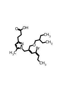 CC/C=C(Br)\C=C(/COCC(CC)CC)Cn1nc(CCC(=O)O)cc1C